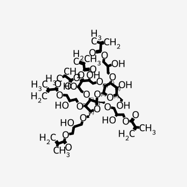 C=C(C)C(=O)OCC(O)COC[C@H]1O[C@@](COCC(O)COC(=O)C(=C)C)(O[C@H]2O[C@H](CO)[C@@H](O)[C@H](OCC(O)COC(=O)C(=C)C)[C@H]2OCC(O)COC(=O)C(=C)C)[C@@H](OCC(O)COC(=O)C(=C)C)[C@@H]1OCC(O)COC(=O)C(=C)C